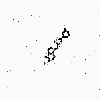 N#Cc1ccc2c(ccn2Cc2noc(-c3cccc(Cl)c3)n2)c1C(F)(F)F